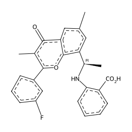 Cc1cc([C@@H](C)Nc2ccccc2C(=O)O)c2oc(-c3cccc(F)c3)c(C)c(=O)c2c1